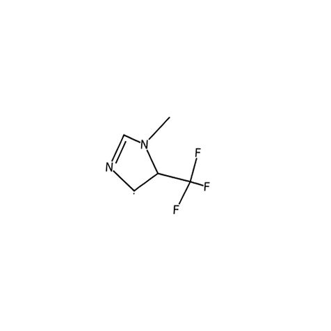 CN1C=N[CH]C1C(F)(F)F